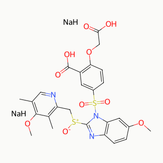 COc1ccc2nc([S+]([O-])Cc3ncc(C)c(OC)c3C)n(S(=O)(=O)c3ccc(OCC(=O)O)c(C(=O)O)c3)c2c1.[NaH].[NaH]